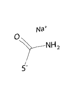 NC(=O)[S-].[Na+]